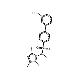 Cc1nn(C)c(C)c1N(C)S(=O)(=O)c1ccc(-c2cccc(C=O)c2)cc1